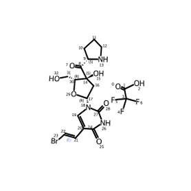 O=C(O)C(F)(F)F.O=C([C@@H]1CCCN1)[C@]1(O)C[C@H](n2cc(/C=C/Br)c(=O)[nH]c2=O)O[C@@H]1CO